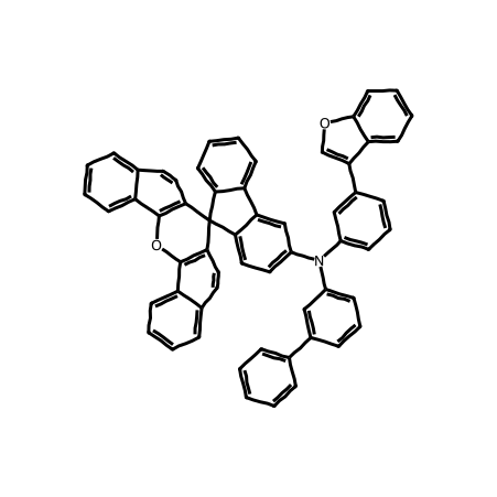 c1ccc(-c2cccc(N(c3cccc(-c4coc5ccccc45)c3)c3ccc4c(c3)-c3ccccc3C43c4ccc5ccccc5c4Oc4c3ccc3ccccc43)c2)cc1